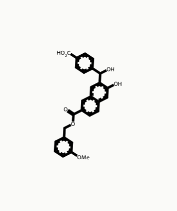 COc1cccc(COC(=O)c2ccc3cc(O)c(C(O)c4ccc(C(=O)O)cc4)cc3c2)c1